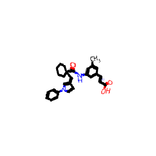 Cc1cc(/C=C/C(=O)O)cc(NC(=O)C2(Cc3ccn(-c4ccccc4)c3)CCCCC2)c1